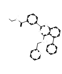 CCNC(=O)c1cccc(-c2nc(NCc3ccccn3)c3c(-c4ccccc4)cccc3n2)c1